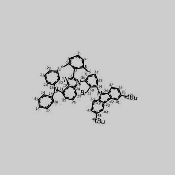 Cc1cccc(C)c1-c1nc2c(N(c3ccccc3)c3ccccc3)cccc2n1-c1cccc(-n2c3ccc(C(C)(C)C)cc3c3cc(C(C)(C)C)ccc32)c1Br